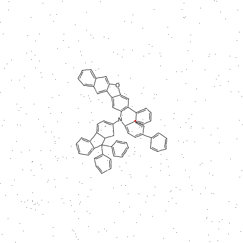 C1=C2c3ccccc3C(c3ccccc3)(c3ccccc3)C2CC(N(c2ccc(-c3ccccc3)cc2)c2cc3c(cc2-c2ccccc2)oc2cc4ccccc4cc23)=C1